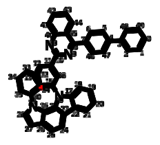 c1ccc(-c2ccc(-c3nc(-c4cccc(-n5c6ccccc6c6ccc7ccn(-c8ccccc8)c7c65)c4)nc4ccccc34)cc2)cc1